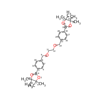 CC1(C)OB(c2ccc(COCCOCc3ccc(B4OC(C)(C)C(C)(C)O4)cc3)cc2)OC1(C)C